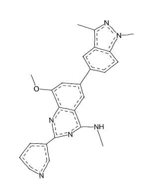 CNc1nc(-c2cccnc2)nc2c(OC)cc(-c3ccc4c(c3)c(C)nn4C)cc12